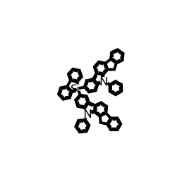 c1ccc(-n2c3ccc([Si]4(c5ccc6c(c5)c5ccc7c(c5n6-c5ccccc5)Cc5ccccc5-7)c5ccccc5-c5ccccc54)cc3c3ccc4c(c32)Cc2ccccc2-4)cc1